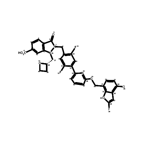 O=C(O)c1ccc2c(=O)n(Cc3cc(F)c(-c4cccc(OCc5ccc(Cl)c6cc(F)oc56)n4)cc3F)n(C[C@@H]3CCO3)c2c1